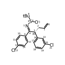 C=CC[C@@H](C(=N[S+]([O-])C(C)(C)C)c1ccc(Cl)cc1)c1cccc(Cl)c1